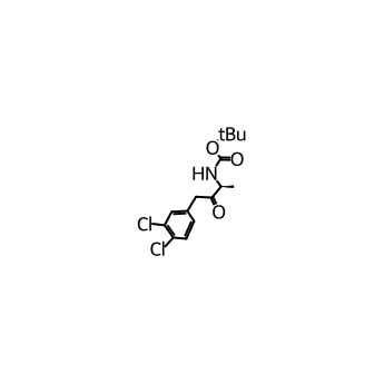 C[C@H](NC(=O)OC(C)(C)C)C(=O)Cc1ccc(Cl)c(Cl)c1